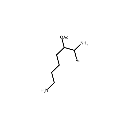 CC(=O)OC(CCCCN)C(N)C(C)=O